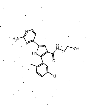 Cc1ccc(Cl)cc1-c1[nH]c(-c2ccnc(N)n2)cc1C(=O)NCCO